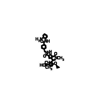 Cn1cc(-c2cc(C(C)(C)O)ccc2OC2CC2)c2cc(C(=O)NCc3ccc(C(=O)Nc4ccccc4N)cc3)[nH]c2c1=O